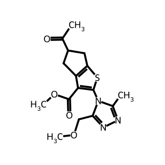 COCc1nnc(C)n1-c1sc2c(c1C(=O)OC)CC(C(C)=O)C2